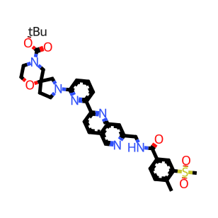 Cc1ccc(C(=O)NCc2cc3nc(-c4cccc(N5CCC6(CN(C(=O)OC(C)(C)C)CCO6)C5)n4)ccc3cn2)cc1S(C)(=O)=O